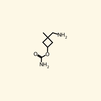 CC1(CN)CC(OC(N)=O)C1